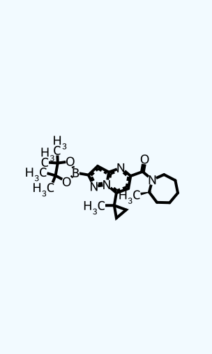 C[C@@H]1CCCCCN1C(=O)c1cc(C2(C)CC2)n2nc(B3OC(C)(C)C(C)(C)O3)cc2n1